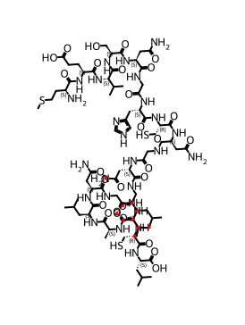 CSCC[C@H](N)C(=O)N[C@@H](CCC(=O)O)C(=O)N[C@H](C(=O)N[C@@H](CO)C(=O)N[C@@H](CC(N)=O)C(=O)NCC(=O)N[C@@H](Cc1c[nH]cn1)C(=O)N[C@@H](CS)C(=O)N[C@@H](CC(N)=O)C(=O)NCC(=O)N[C@@H](CC(N)=O)C(=O)NCC(=O)N[C@H](C(=O)N[C@@H](C)C(=O)N[C@@H](CC(C)C)C(=O)N[C@@H](CC(N)=O)C(=O)NCC(=O)N[C@@H](CC(C)C)C(=O)N[C@@H](CS)C(=O)N[C@@H](CC(C)C)C(=O)O)C(C)C)C(C)C